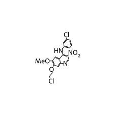 COc1cc2c(Nc3cccc(Cl)c3)c([N+](=O)[O-])cnc2cc1OCCCl